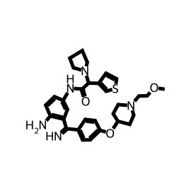 COCCN1CCC(Oc2ccc(C(=N)c3cc(NC(=O)C(c4ccsc4)N4CCCC4)ccc3N)cc2)CC1